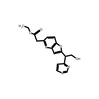 CCOC(=O)Cc1ccc2oc(C(CO)c3ccncn3)cc2n1